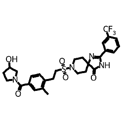 Cc1cc(C(=O)N2CCC(O)C2)ccc1CCS(=O)(=O)N1CCC2(CC1)N=C(c1cccc(C(F)(F)F)c1)NC2=O